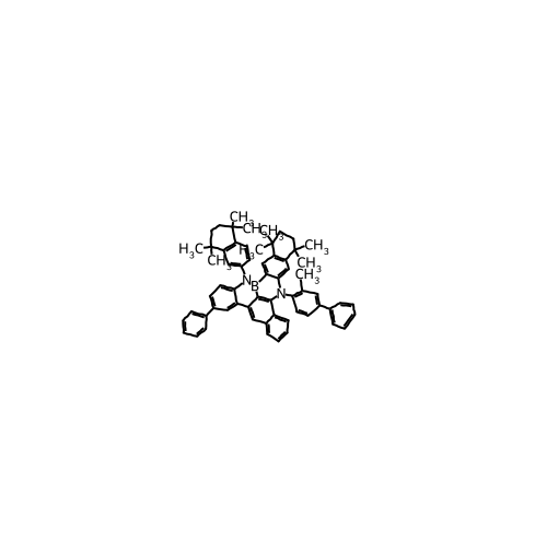 Cc1cc(-c2ccccc2)ccc1N1c2cc3c(cc2B2c4c(cc5ccccc5c41)-c1cc(-c4ccccc4)ccc1N2c1ccc2c(c1)C(C)(C)CCC2(C)C)C(C)(C)CCC3(C)C